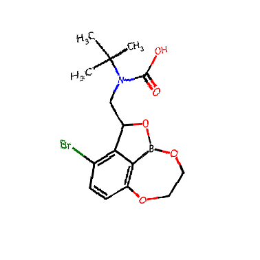 CC(C)(C)N(CC1OB2OCCOc3ccc(Br)c1c32)C(=O)O